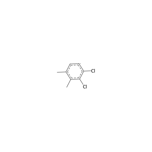 Cc1c[c]c(Cl)c(Cl)c1C